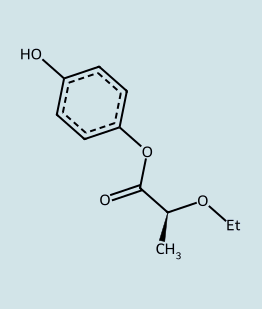 CCO[C@@H](C)C(=O)Oc1ccc(O)cc1